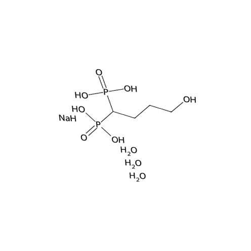 O.O.O.O=P(O)(O)C(CCCO)P(=O)(O)O.[NaH]